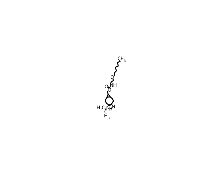 CCCCCCCCOCCNC(=O)OCC1C2CCc3nnn(C(C)C)c3CCC21